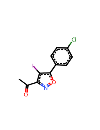 CC(=O)c1noc(-c2ccc(Cl)cc2)c1I